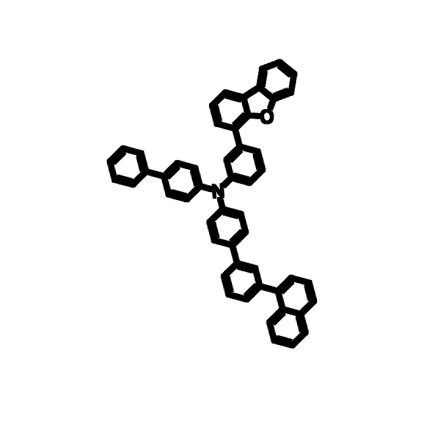 c1ccc(-c2ccc(N(c3ccc(-c4cccc(-c5cccc6ccccc56)c4)cc3)c3cccc(-c4cccc5c4oc4ccccc45)c3)cc2)cc1